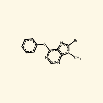 Cn1c(Br)nc2c(Sc3ccccc3)ncnc21